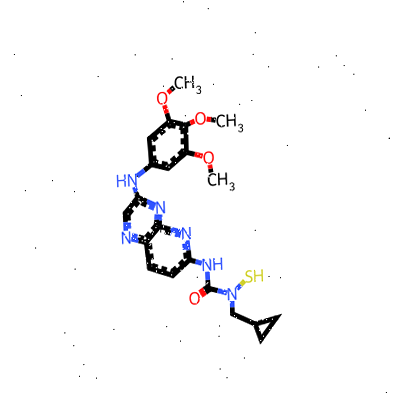 COc1cc(Nc2cnc3ccc(NC(=O)N(S)CC4CC4)nc3n2)cc(OC)c1OC